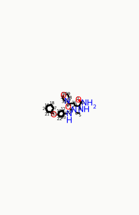 NC(=O)C1NCCN(C(=O)Nc2ccc(Oc3ccccc3)cc2)C1CCN1CCOCC1